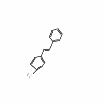 FC(F)(F)c1ccc(C=Cc2ccccc2)cc1